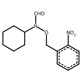 O=CN(OCc1ccccc1[N+](=O)[O-])C1CCCCC1